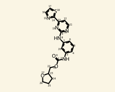 O=C(Nc1cccc(Nc2nccc(-c3nccs3)n2)c1)OCC1CCCO1